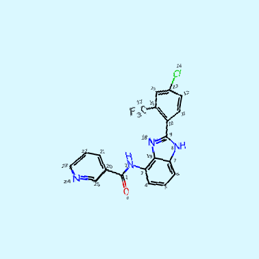 O=C(Nc1cccc2[nH]c(-c3ccc(Cl)cc3C(F)(F)F)nc12)c1cccnc1